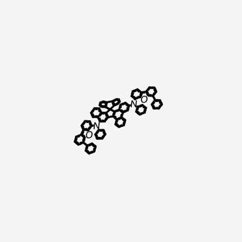 c1ccc(-c2cccc3c2oc2c(N(c4ccccc4)c4ccc5c6c(c7ccccc7c5c4)-c4cc(N(c5ccccc5)c5cccc7c5oc5c(-c8ccccc8)cccc57)c5ccccc5c4C64c5ccccc5-c5ccccc54)cccc23)cc1